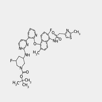 Cc1nc(CS(=O)(=O)Nc2c(F)ccc3c(Oc4ncccc4-c4ccnc(NC5CC(F)CN(C(=O)OC(C)(C)C)C5)n4)c(C)ccc23)cs1